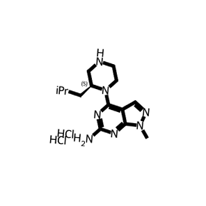 CC(C)C[C@H]1CNCCN1c1nc(N)nc2c1cnn2C.Cl.Cl